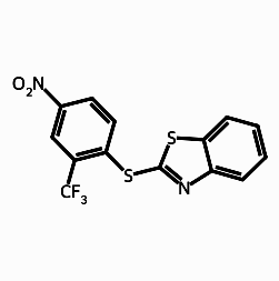 O=[N+]([O-])c1ccc(Sc2nc3ccccc3s2)c(C(F)(F)F)c1